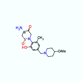 COC1CCN(Cc2cc(C)c(N3CC(=O)[C@@H](N)C[S+]3[O-])c(O)c2)CC1